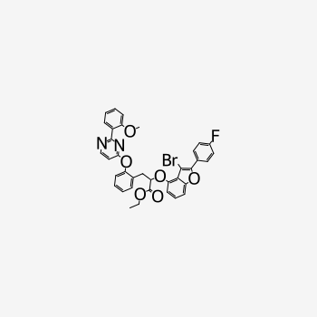 CCOC(=O)C(Cc1ccccc1Oc1ccnc(-c2ccccc2OC)n1)Oc1cccc2oc(-c3ccc(F)cc3)c(Br)c12